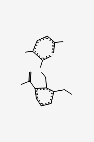 CCc1cccc(C(=O)O)c1COc1nc(C)ccc1C